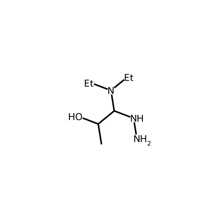 CCN(CC)C(NN)C(C)O